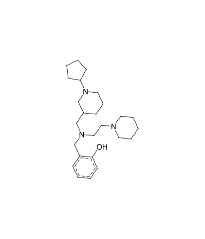 Oc1ccccc1CN(CCN1CCCCC1)CC1CCCN(C2CCCC2)C1